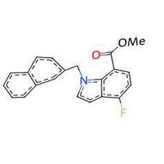 COC(=O)c1ccc(F)c2ccn(Cc3ccc4ccccc4c3)c12